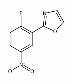 O=[N+]([O-])c1ccc(F)c(-c2ncco2)c1